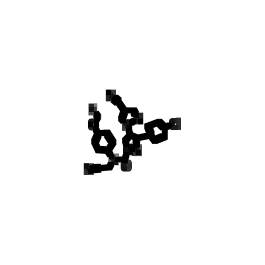 N#CCN(C(=O)N1CC(n2cc(C#N)cn2)C(c2ccc(Cl)cc2)=N1)c1ccc(OCF)cc1